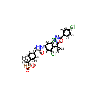 CC(c1ccc(CC(=O)Nc2cc(Cl)c(C3(c4nnc(-c5ccc(Cl)cc5)o4)CC3)c(Cl)c2)cc1)[SH](=O)=O